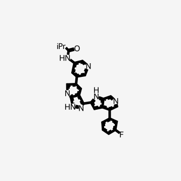 CC(C)C(=O)Nc1cncc(-c2cnc3[nH]nc(-c4cc5c(-c6cccc(F)c6)cncc5[nH]4)c3c2)c1